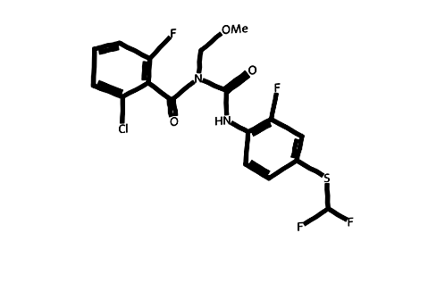 COCN(C(=O)Nc1ccc(SC(F)F)cc1F)C(=O)c1c(F)cccc1Cl